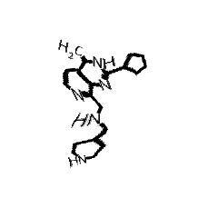 C=C1NC(C2CCCC2)=Nc2c1ccnc2CNCC1CCNCC1